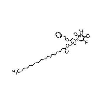 CCCCCCCCCCCCCCCCCC(=O)OC[C@@H]1O[C@H](n2cc(F)c(=O)[nH]c2=O)CC1OCc1ccccc1